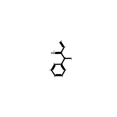 C=CC(=N)C(C)c1ccccc1